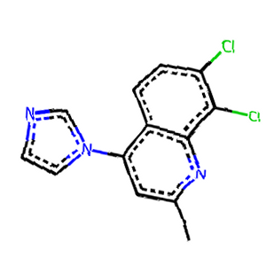 Cc1cc(-n2ccnc2)c2ccc(Cl)c(Cl)c2n1